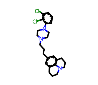 Clc1cccc(N2CCN(CCCc3cc4c5c(c3)CCCN5CCC4)CC2)c1Cl